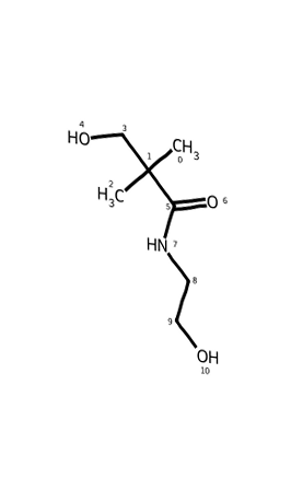 CC(C)(CO)C(=O)NCCO